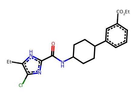 CCOC(=O)c1cccc(C2CCC(NC(=O)c3nc(Cl)c(CC)[nH]3)CC2)c1